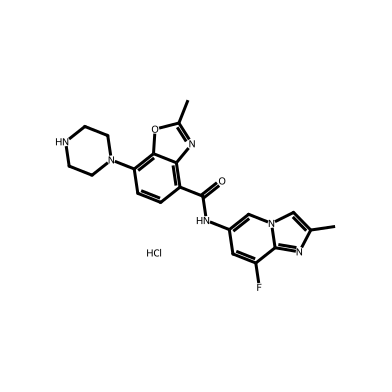 Cc1cn2cc(NC(=O)c3ccc(N4CCNCC4)c4oc(C)nc34)cc(F)c2n1.Cl